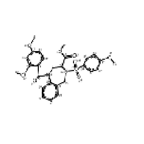 COC(=O)C1CN(C(=O)c2ccc(OC)cc2OC)c2ccccc2CN1S(=O)(=O)c1ccc(OC)cc1